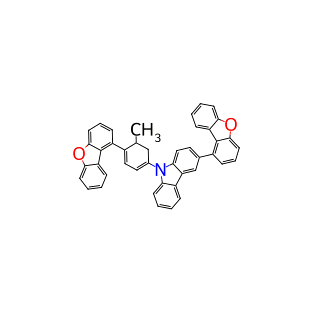 CC1CC(n2c3ccccc3c3cc(-c4cccc5oc6ccccc6c45)ccc32)=CC=C1c1cccc2oc3ccccc3c12